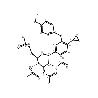 CCc1ccc(Cc2cc([C@@H]3O[C@H](COC(C)=O)[C@@H](OC(C)=O)[C@H](OC(C)=O)[C@H]3OC(C)=O)ccc2C2CC2)cc1